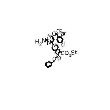 CCOC(=O)[C@H]1CC2(CCN(c3cc(O[C@H](c4ccc(Cl)cc4Br)C(F)(F)F)nc(N)n3)CC2)CN1C(=O)OCc1ccccc1